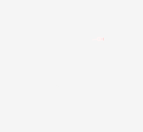 OCCCCCC1CCCS1